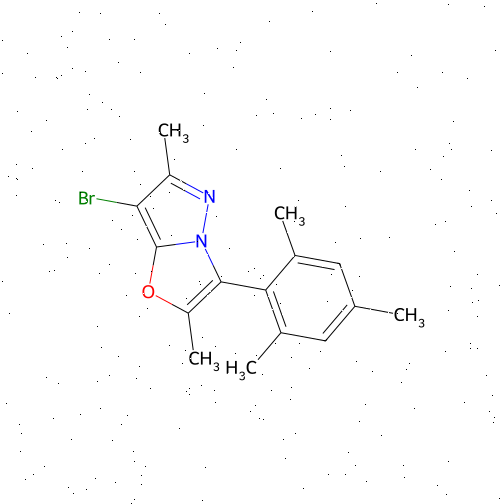 Cc1cc(C)c(-c2c(C)oc3c(Br)c(C)nn23)c(C)c1